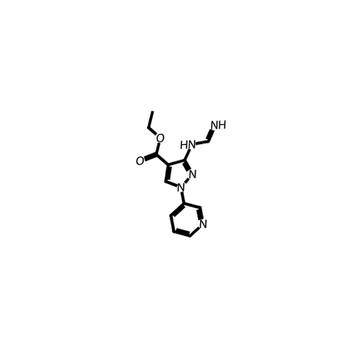 CCOC(=O)c1cn(-c2cccnc2)nc1NC=N